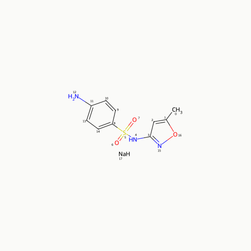 Cc1cc(NS(=O)(=O)c2ccc(N)cc2)no1.[NaH]